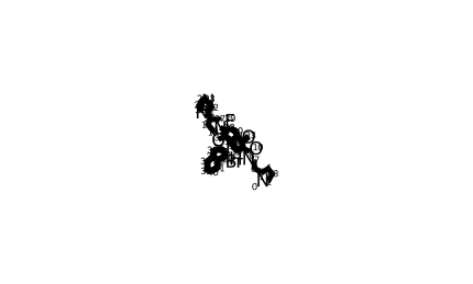 CN1CCCC1CCNC(=O)c1cn2c3c(c(N4CCC(c5cnccn5)C4)c(F)cc3c1=O)Oc1cc3ccccc3c(Br)c1-2